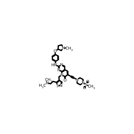 CN(C)CCc1sncc1Cn1c(=O)c(C#CN2CCN(S(C)(=O)=O)CC2)cc2cnc(Nc3ccc(OC4CCN(C)C4)cc3)nc21